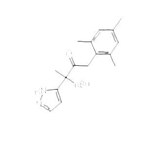 CCCCC(C)(C(=O)Cc1c(C)cc(C)cc1C)c1ccn[nH]1